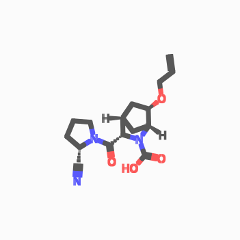 C=CCO[C@@H]1C[C@@H]2C[C@H]1N(C(=O)O)[C@@H]2C(=O)N1CCC[C@H]1C#N